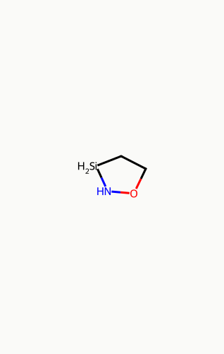 C1C[SiH2]NO1